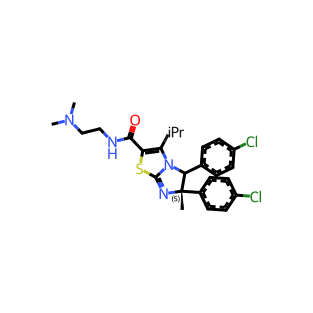 CC(C)C1=C(C(=O)NCCN(C)C)SC2=N[C@@](C)(c3ccc(Cl)cc3)C(c3ccc(Cl)cc3)N21